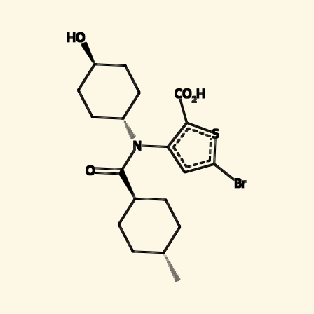 C[C@H]1CC[C@H](C(=O)N(c2cc(Br)sc2C(=O)O)[C@H]2CC[C@H](O)CC2)CC1